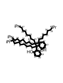 CC(C)CCCCCCCCC(c1ccccc1O)(c1ccccc1O)C(CCCCCCCC(C)C)(CCCCCCCC(C)C)CCCCCCCC(C)C